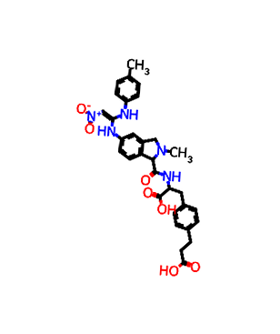 Cc1ccc(NC(=C[N+](=O)[O-])Nc2ccc3c(c2)CN(C)C3C(=O)NC(Cc2ccc(CCC(=O)O)cc2)C(=O)O)cc1